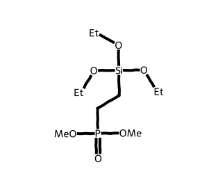 CCO[Si](CCP(=O)(OC)OC)(OCC)OCC